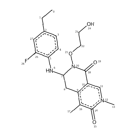 CCc1ccc(NC2Cc3c(cn(C)c(=O)c3C)C(=O)N2OCCO)c(F)c1